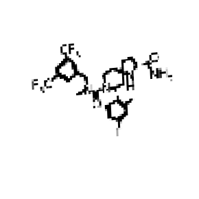 Cc1cc(F)ccc1[C@H]1C[C@]2(CC[C@H](C(N)=O)N2)CCN1C(=O)N(C)Cc1cc(C(F)(F)F)cc(C(F)(F)F)c1